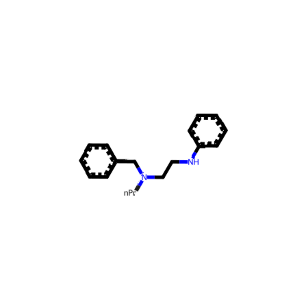 CCCN(CCNc1ccccc1)Cc1ccccc1